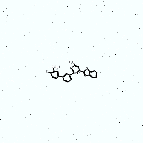 O=C(O)c1cc(-c2cccc(-c3nc(-c4cc5ccccc5s4)cc(C(F)(F)F)n3)c2)ccc1F